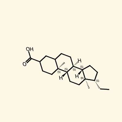 CC[C@H]1CC[C@H]2[C@@H]3CCC4CC(C(=O)O)CC[C@]4(C)[C@H]3CC[C@]12C